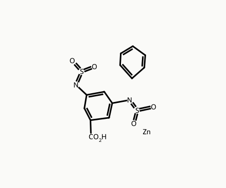 O=C(O)c1cc(N=S(=O)=O)cc(N=S(=O)=O)c1.[Zn].c1ccccc1